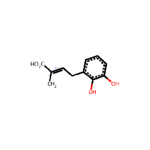 C/C(=C\Cc1cccc(O)c1O)C(=O)O